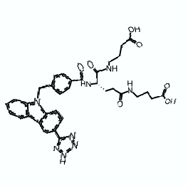 O=C(O)CCCNC(=O)CC[C@H](NC(=O)c1ccc(Cn2c3ccccc3c3cc(-c4nn[nH]n4)ccc32)cc1)C(=O)NCCCC(=O)O